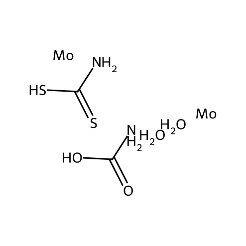 NC(=O)O.NC(=S)S.O.O.[Mo].[Mo]